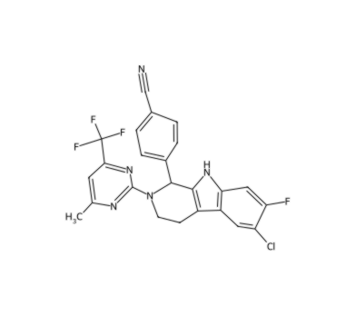 Cc1cc(C(F)(F)F)nc(N2CCc3c([nH]c4cc(F)c(Cl)cc34)C2c2ccc(C#N)cc2)n1